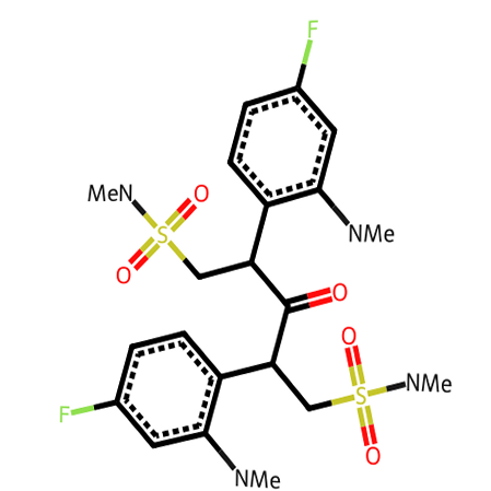 CNc1cc(F)ccc1C(CS(=O)(=O)NC)C(=O)C(CS(=O)(=O)NC)c1ccc(F)cc1NC